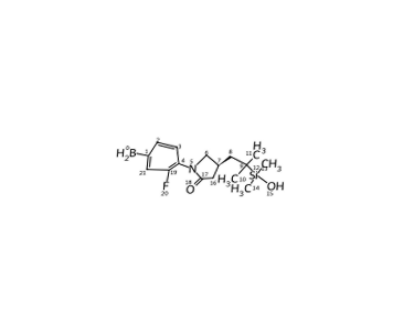 Bc1ccc(N2C[C@@H](CC(C)(C)[Si](C)(C)O)CC2=O)c(F)c1